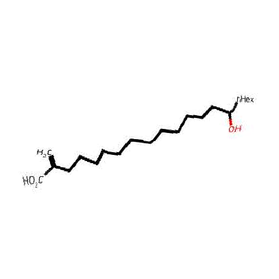 C=C(CCCCCCCCCCCCC(O)CCCCCC)C(=O)O